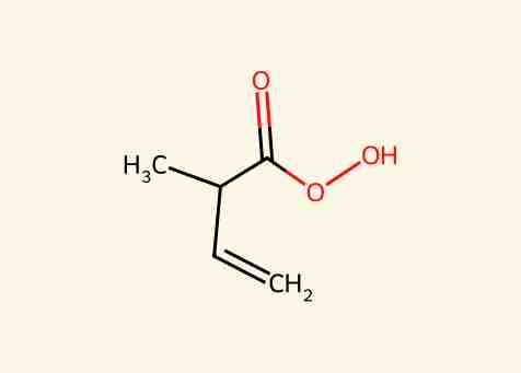 C=CC(C)C(=O)OO